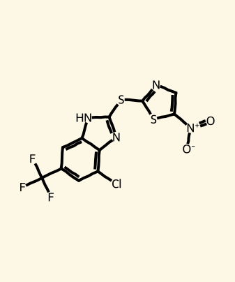 O=[N+]([O-])c1cnc(Sc2nc3c(Cl)cc(C(F)(F)F)cc3[nH]2)s1